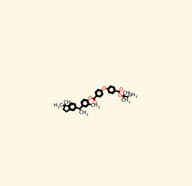 CCC(C)(C)OC(=O)c1ccc(Oc2ccc(C(=O)Oc3ccc(C(C)c4ccc5c(c4)CCC5(C)C)cc3C)cc2)cc1